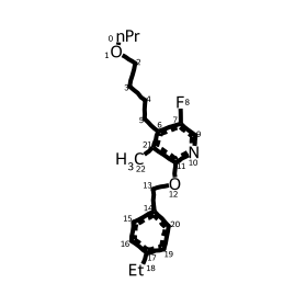 CCCOCCCCc1c(F)cnc(OCc2ccc(CC)cc2)c1C